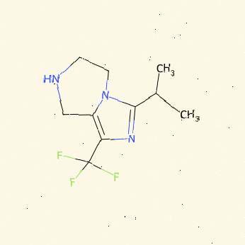 CC(C)c1nc(C(F)(F)F)c2n1CCNC2